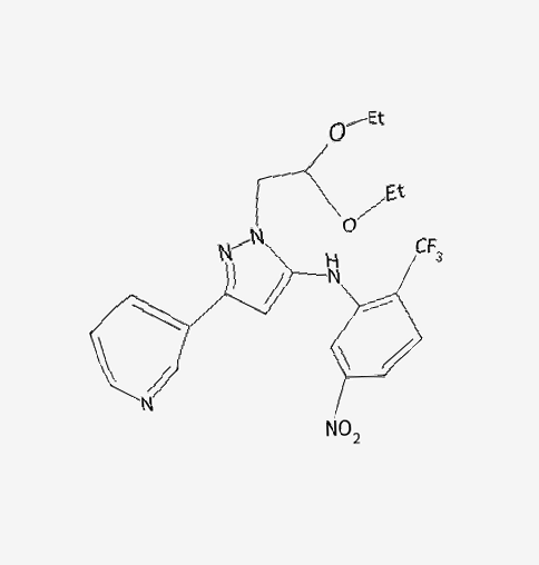 CCOC(Cn1nc(-c2cccnc2)cc1Nc1cc([N+](=O)[O-])ccc1C(F)(F)F)OCC